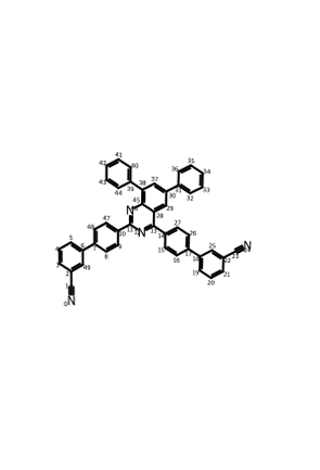 N#Cc1cccc(-c2ccc(-c3nc(-c4ccc(-c5cccc(C#N)c5)cc4)c4cc(-c5ccccc5)cc(-c5ccccc5)c4n3)cc2)c1